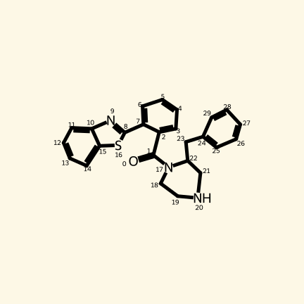 O=C(c1ccccc1-c1nc2ccccc2s1)N1CCNCC1Cc1ccccc1